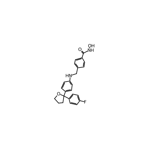 O=C(NO)c1ccc(CNc2ccc(C3(c4ccc(F)cc4)CCCO3)cc2)cc1